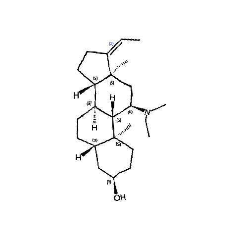 C/C=C1/CC[C@H]2[C@@H]3CC[C@H]4C[C@H](O)CC[C@]4(C)[C@H]3[C@H](N(C)C)C[C@]12C